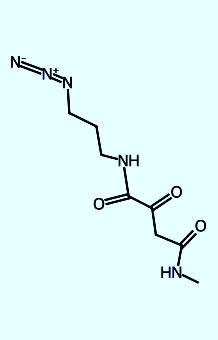 CNC(=O)CC(=O)C(=O)NCCCN=[N+]=[N-]